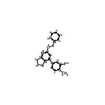 Cc1ccc(-c2cc(OCc3ccccn3)nc3c2CCC3)cc1F